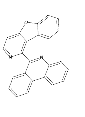 c1ccc2c(c1)nc(-c1nccc3oc4ccccc4c13)c1ccccc12